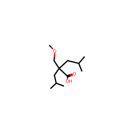 COCC(CC(C)C)(CC(C)C)C(=O)O